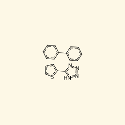 c1ccc(-c2ccccc2)cc1.c1csc(-c2nnn[nH]2)c1